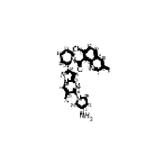 Cc1cnc2c(C(=O)N3CCCC[C@H]3c3cc4nc(N5CC[C@H](N)C5)c(C)cn4n3)c(Cl)ccc2c1